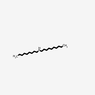 CCCCCCCCCCPCCCCCCCCC